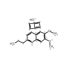 CCCc1ccc2cc(OC)c(OC)cc2n1.Cl.c1cc2ccc1-2